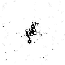 CCOC(=O)C(CCc1ccccc1)CP(=O)(COS(=O)(=O)c1ccc(C)cc1)OCC